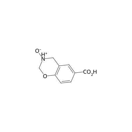 O=C(O)c1ccc2c(c1)C[NH+]([O-])CO2